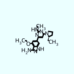 CCOc1cc(-c2cc(N3CCC[C@H]3CC)nc(NC)n2)cc2[nH]nc(N)c12